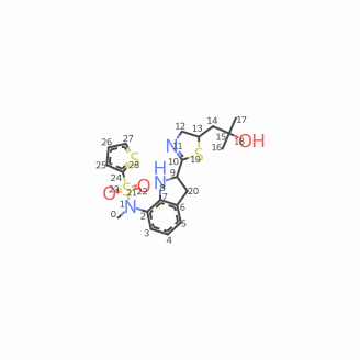 CN(c1cccc2c1NC(C1=NCC(CC(C)(C)O)S1)C2)S(=O)(=O)c1cccs1